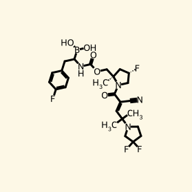 CC(C)(C=C(C#N)C(=O)N1C[C@@H](F)C[C@]1(C)COC(=O)NC(Cc1ccc(F)cc1)B(O)O)N1CCC(F)(F)C1